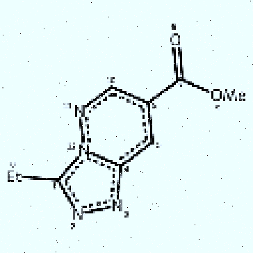 CCc1nnc2cc(C(=O)OC)cnn12